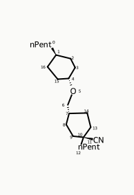 CCCCC[C@H]1CC[C@H](OC[C@H]2CC[C@@](C#N)(CCCCC)CC2)CC1